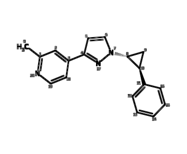 Cc1cc(-c2ccn([C@@H]3C[C@H]3c3ccccc3)n2)ccn1